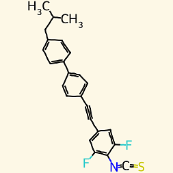 CC(C)Cc1ccc(-c2ccc(C#Cc3cc(F)c(N=C=S)c(F)c3)cc2)cc1